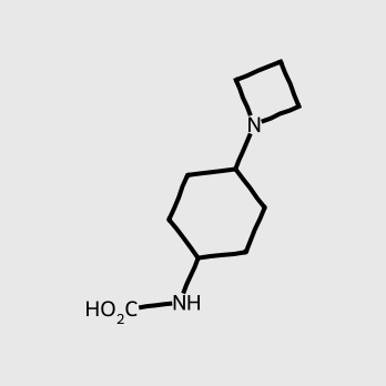 O=C(O)NC1CCC(N2CCC2)CC1